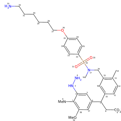 CNc1c(NN)cc(C(CC(=O)O)c2ccc(C)c(CN(C)S(=O)(=O)c3ccc(OCCCCCCN)cc3)c2)cc1OC